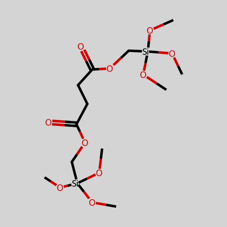 CO[Si](COC(=O)CCC(=O)OC[Si](OC)(OC)OC)(OC)OC